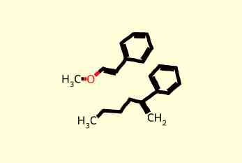 C=C(CCCC)c1ccccc1.COC=Cc1ccccc1